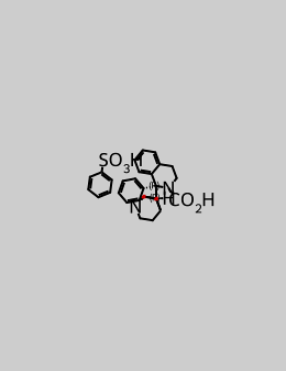 O=C(O)N1CCc2ccccc2[C@]1(c1ccccc1)[C@H]1CN2CCC1CC2.O=S(=O)(O)c1ccccc1